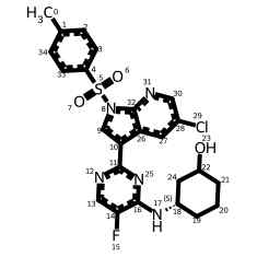 Cc1ccc(S(=O)(=O)n2cc(-c3ncc(F)c(N[C@H]4CCCC(O)C4)n3)c3cc(Cl)cnc32)cc1